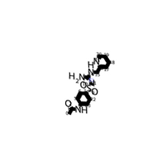 CC(=O)Nc1ccc(S(=O)(=O)/N=C(\N)NCc2ccccn2)cc1